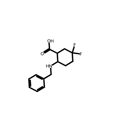 O=C(O)C1CC(F)(F)CCC1NCc1ccccc1